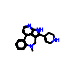 CN1Cc2c(C3=CCNCC3)[nH]c3nccc(c23)-c2ccccc21